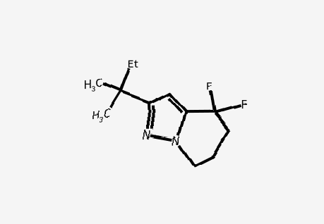 CCC(C)(C)c1cc2n(n1)CCCC2(F)F